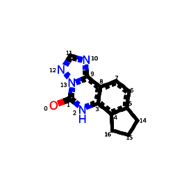 O=c1[nH]c2c3c(ccc2c2ncnn12)CCC3